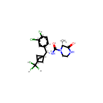 C[C@@H]1C(=O)NCCN1C(=O)N[C@@H](c1ccc(F)c(Cl)c1)C12CC(C(F)(F)F)(C1)C2